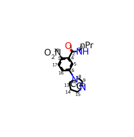 CCCNC(=O)c1cc(N2CCN3CCC2CC3)ccc1[N+](=O)[O-]